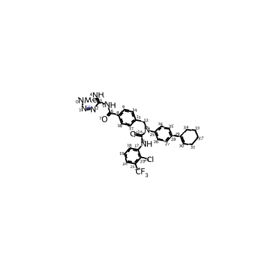 CN/N=N\C(=N)NC(=O)c1ccc(CN(C(=O)Nc2cccc(C(F)(F)F)c2Cl)c2ccc(C3=CCCCC3)cc2)cc1